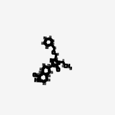 CCn1c(COCc2ccccc2)nn(-c2ccc3c(=O)[nH]ccc3c2)c1=O